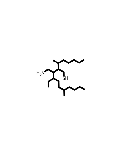 CCCCCC(C)C(CS)C(CN)C(CC)CCC(C)CCCC